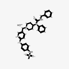 CS(=O)(=O)Nc1ccc(Oc2ccc(CN3CCC(N(C(=O)NCc4ccccc4)c4ccccc4)CC3)cn2)cc1.Cl